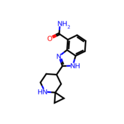 NC(=O)c1cccc2[nH]c(C3CCNC4(CC4)C3)nc12